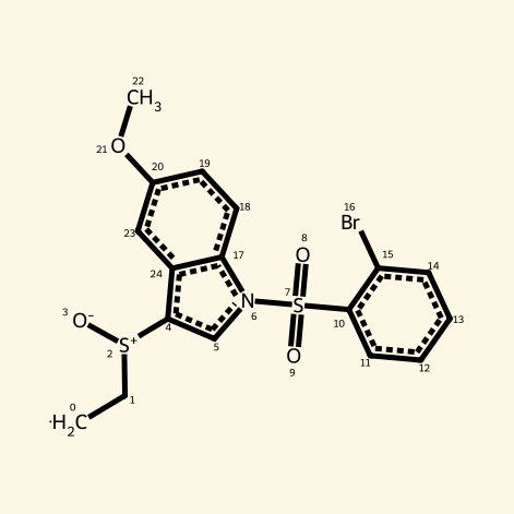 [CH2]C[S+]([O-])c1cn(S(=O)(=O)c2ccccc2Br)c2ccc(OC)cc12